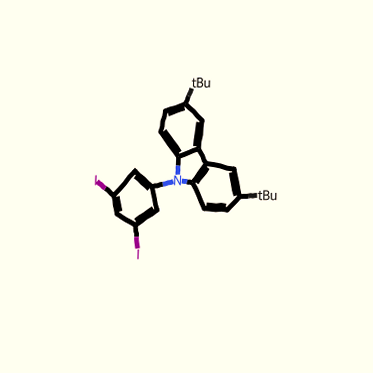 CC(C)(C)c1ccc2c(c1)c1cc(C(C)(C)C)ccc1n2-c1cc(I)cc(I)c1